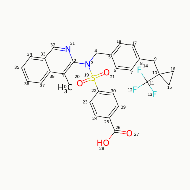 Cc1c(N(Cc2ccc(CC3(C(F)(F)F)CC3)cc2)S(=O)(=O)c2ccc(C(=O)O)cc2)ncc2ccccc12